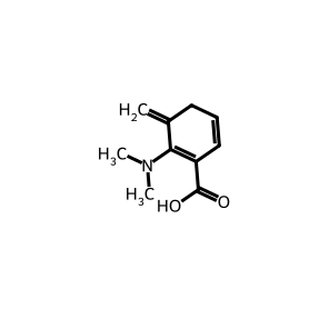 C=C1CC=CC(C(=O)O)=C1N(C)C